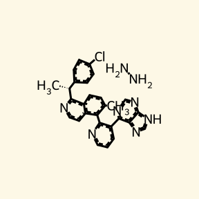 Cc1ccc2c([C@H](C)c3ccc(Cl)cc3)nccc2c1-c1ncccc1-c1ncnc2[nH]cnc12.NN